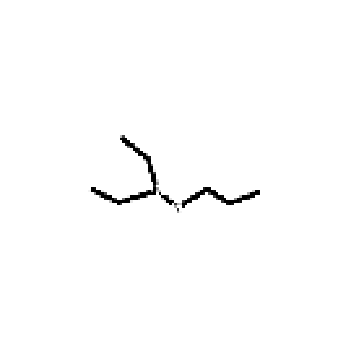 CCCSN(CC)CC